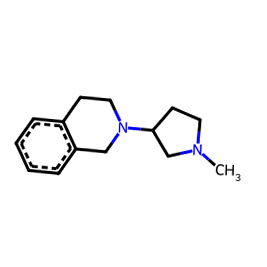 CN1CCC(N2CCc3ccccc3C2)C1